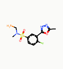 Cc1nnc(-c2cc(S(=O)(=O)N(C)CP)ccc2F)o1